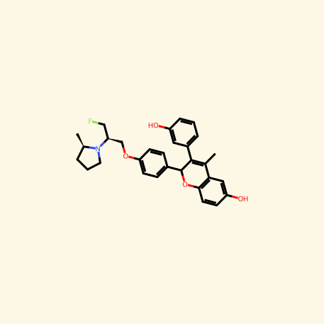 CC1=C(c2cccc(O)c2)C(c2ccc(OC[C@H](CF)N3CCC[C@H]3C)cc2)Oc2ccc(O)cc21